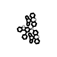 c1ccc(-c2cc(N(c3ccc4c(c3)C3(c5ccccc5S4)c4ccccc4-c4ccccc43)c3ccc4c(c3)C3(c5ccccc5S4)c4ccccc4-c4ccccc43)cc3oc4ccccc4c23)cc1